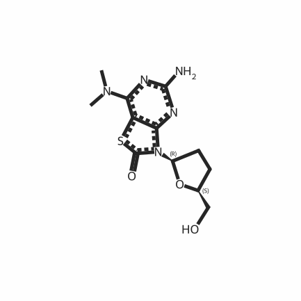 CN(C)c1nc(N)nc2c1sc(=O)n2[C@H]1CC[C@@H](CO)O1